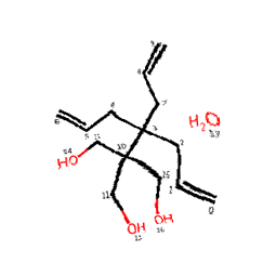 C=CCC(CC=C)(CC=C)C(CO)(CO)CO.O